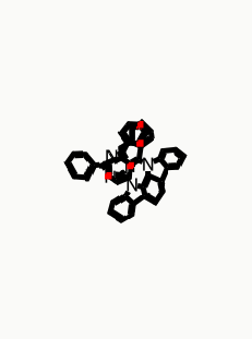 c1ccc(-c2nc(-c3ccccc3)nc(-n3c4ccccc4c4ccc5c6ccccc6n(-c6c7ccccc7cc7ccccc67)c5c43)n2)cc1